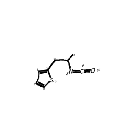 CC(Cc1cccs1)N=C=O